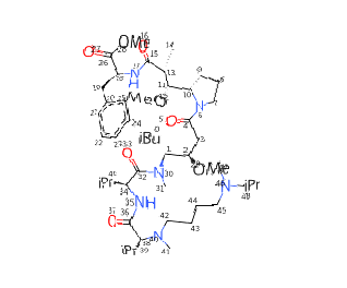 CC[C@H](C)[C@@H]([C@@H](CC(=O)N1CCC[C@H]1[C@H](OC)[C@@H](C)C(=O)N[C@@H](Cc1ccccc1)C(=O)OC)OC)N(C)C(=O)[C@@H](NC(=O)[C@H](C(C)C)N(C)CCCCN(C)C(C)C)C(C)C